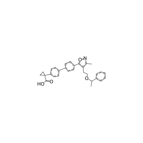 Cc1noc(-c2ccc(-c3ccc(C4(C(=O)O)CC4)cc3)cc2)c1CCOC(C)c1ccccc1